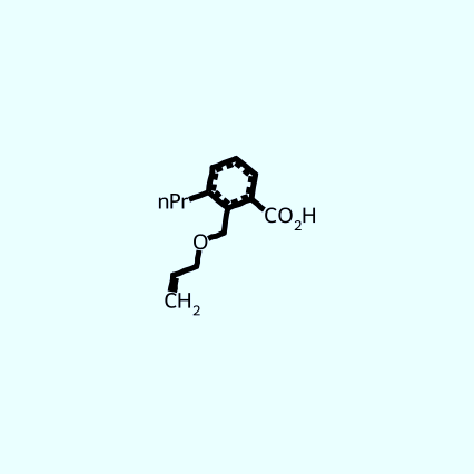 C=CCOCc1c(CCC)cccc1C(=O)O